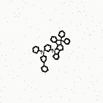 c1ccc(-c2ccc(N(c3ccccc3)c3cccc(-n4c5ccccc5c5ccc6c(c54)-c4ccccc4C6(c4ccccc4)c4ccccc4)c3)cc2)cc1